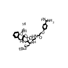 CC(C)(C)OC[C@H](NC(=O)CNC(=O)COc1ccc(C(=N)N)cc1)C(=O)N[C@@H](Cc1ccccc1)C(=O)OC(C)(C)C.I